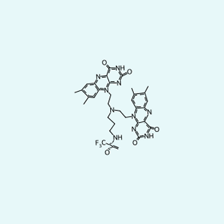 C=S(=O)(NCCCN(CCn1c2nc(=O)[nH]c(=O)c-2nc2cc(C)c(C)cc21)CCn1c2nc(=O)[nH]c(=O)c-2nc2cc(C)c(C)cc21)C(F)(F)F